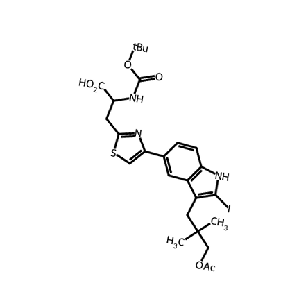 CC(=O)OCC(C)(C)Cc1c(I)[nH]c2ccc(-c3csc(CC(NC(=O)OC(C)(C)C)C(=O)O)n3)cc12